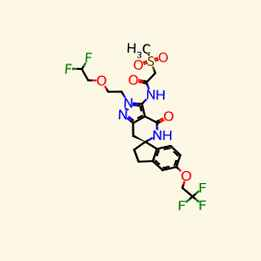 CS(=O)(=O)CC(=O)Nc1c2c(nn1CCOCC(F)F)C[C@@]1(CCc3cc(OCC(F)(F)F)ccc31)NC2=O